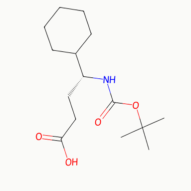 CC(C)(C)OC(=O)N[C@H](CCC(=O)O)C1CCCCC1